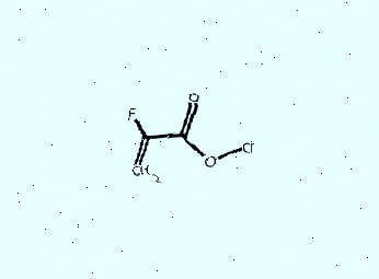 C=C(F)C(=O)OCl